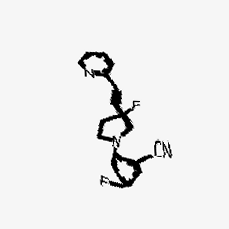 N#Cc1ccc(F)cc1N1CCC(F)(C#Cc2ccccn2)C1